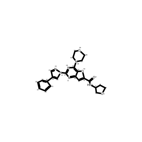 O=C(NC1CCOC1)c1cc2nc(-n3cc(-c4ccccc4)cn3)nc(N3CCOCC3)c2o1